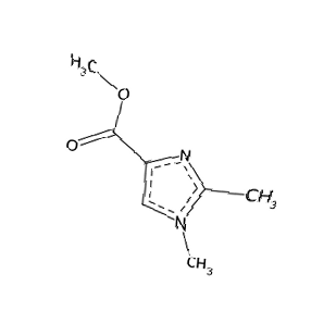 COC(=O)c1cn(C)c(C)n1